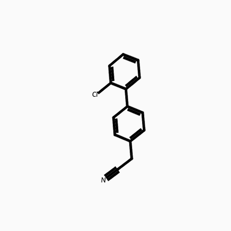 N#CCc1ccc(-c2ccccc2Cl)cc1